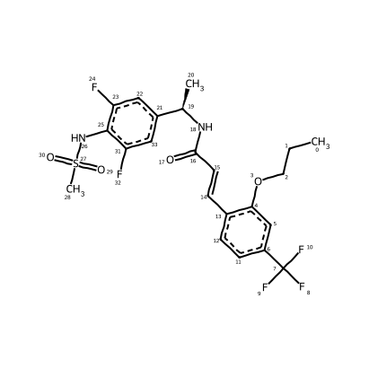 CCCOc1cc(C(F)(F)F)ccc1/C=C/C(=O)N[C@H](C)c1cc(F)c(NS(C)(=O)=O)c(F)c1